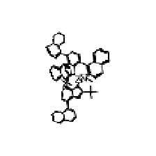 C[SiH](C)[Zr]([CH]1C(C(C)(C)C)=Cc2c(-c3cccc4ccccc34)ccc(-c3cccc4ccccc34)c21)[CH]1C(C(C)(C)C)=Cc2c(-c3cccc4ccccc34)ccc(-c3cccc4ccccc34)c21